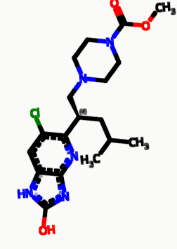 COC(=O)N1CCN(C[C@@H](CC(C)C)c2nc3nc(O)[nH]c3cc2Cl)CC1